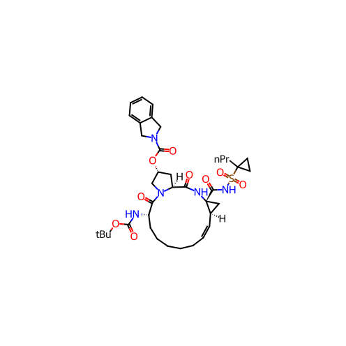 CCCC1(S(=O)(=O)NC(=O)[C@@]23C[C@H]2/C=C\CCCCC[C@H](NC(=O)OC(C)(C)C)C(=O)N2C[C@H](OC(=O)N4Cc5ccccc5C4)C[C@H]2C(=O)N3)CC1